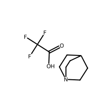 C1CN2CCC1CC2.O=C(O)C(F)(F)F